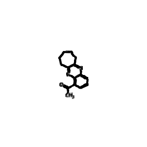 CC(=O)c1cccc2nc3c(nc12)CCCCC3